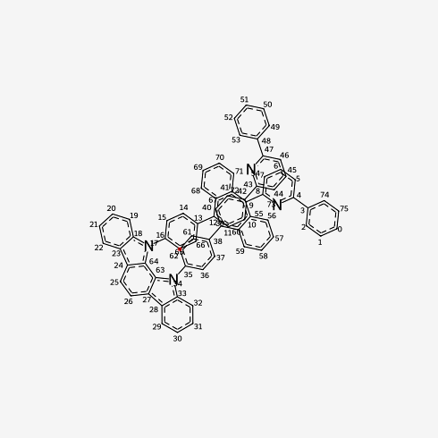 c1ccc(-c2cccc(-c3ccc(-c4ccc(-n5c6ccccc6c6ccc7c8ccccc8n(-c8ccc(-c9ccc(-c%10cccc(-c%11ccccc%11)n%10)c%10ccccc9%10)cc8)c7c65)cc4)c4ccccc34)n2)cc1